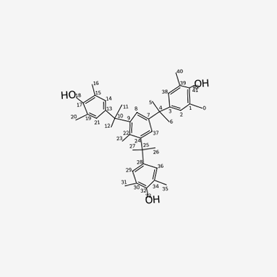 Cc1cc(C(C)(C)c2cc(C(C)(C)c3cc(C)c(O)c(C)c3)c(C)c(C(C)(C)c3cc(C)c(O)c(C)c3)c2)cc(C)c1O